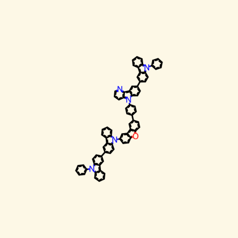 c1ccc(-n2c3ccccc3c3cc(-c4ccc5c(c4)c4ccccc4n5-c4ccc5oc6ccc(-c7ccc(-n8c9ccc(-c%10ccc%11c(c%10)c%10ccccc%10n%11-c%10ccccc%10)cc9c9ncccc98)cc7)cc6c5c4)ccc32)cc1